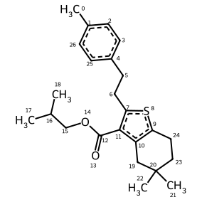 Cc1ccc(CCc2sc3c(c2C(=O)OCC(C)C)CC(C)(C)CC3)cc1